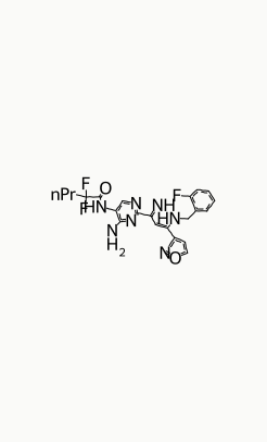 CCCC(F)(F)C(=O)Nc1cnc(C(=N)/C=C(\NCc2ccccc2F)c2ccon2)nc1N